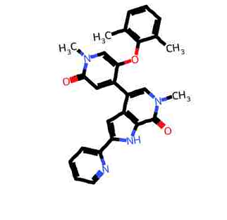 Cc1cccc(C)c1Oc1cn(C)c(=O)cc1-c1cn(C)c(=O)c2[nH]c(-c3ccccn3)cc12